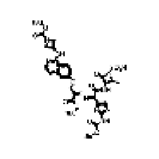 C[C@H]1[C@H](NC(=O)C(=NOC(COc2ccc3c(NC4CN(C(=O)OC(C)(C)C)C4)nccc3c2)C(=O)OC(C)(C)C)c2csc(NC(=O)OC(C)(C)C)n2)C(=O)N1S(=O)(=O)O